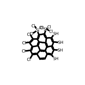 Sc1c(S)c2c(S)c(S)c3c([Si](Cl)(Cl)Cl)c([Si](Cl)(Cl)Cl)c4c(Cl)c(Cl)c5c(Cl)c(Cl)c6ccc1c1c6c5c4c3c21